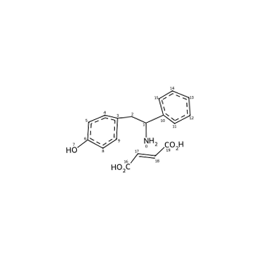 NC(Cc1ccc(O)cc1)c1ccccc1.O=C(O)C=CC(=O)O